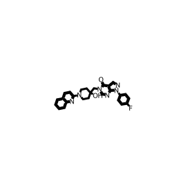 O=c1c2cnn(-c3ccc(F)cc3)c2ncn1CC1(O)CCN(c2ccc3ccccc3n2)CC1